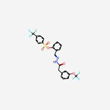 O=C(Cc1cccc(OC(F)(F)F)c1)N/N=C/c1ccccc1OS(=O)(=O)c1ccc(C(F)(F)F)cc1